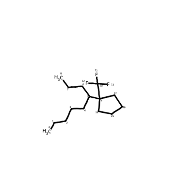 CCCCCC(CCC)C1(C(F)(F)F)CCCC1